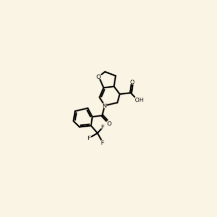 O=C(O)C1CN(C(=O)c2ccccc2C(F)(F)F)C=C2OCCC21